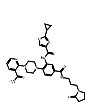 NC(=O)c1cccnc1N1CCN(c2ccc(C(=O)NCCCN3CCCC3=O)cc2NC(=O)c2coc(C3CC3)n2)CC1